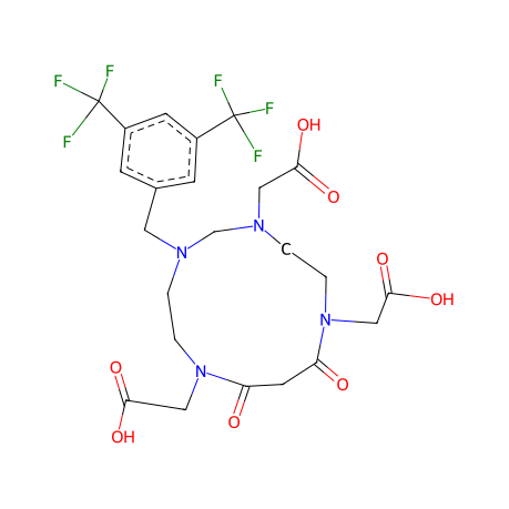 O=C(O)CN1CCN(CC(=O)O)C(=O)CC(=O)N(CC(=O)O)CCN(Cc2cc(C(F)(F)F)cc(C(F)(F)F)c2)C1